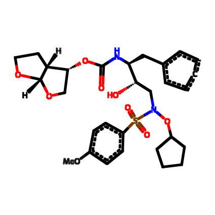 COc1ccc(S(=O)(=O)N(C[C@H](O)[C@H](Cc2ccccc2)NC(=O)O[C@@H]2CO[C@@H]3OCC[C@@H]32)OC2CCCC2)cc1